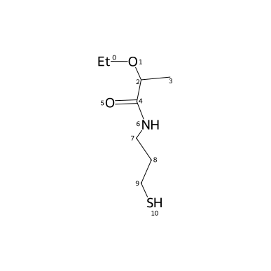 CCOC(C)C(=O)NCCCS